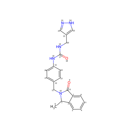 CC1c2ccccc2C(=O)N1Cc1ccc(NC(=O)NCc2cn[nH]c2)cc1